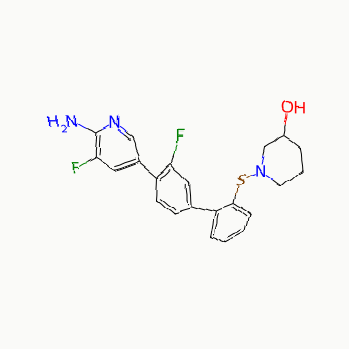 Nc1ncc(-c2ccc(-c3ccccc3SN3CCCC(O)C3)cc2F)cc1F